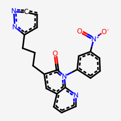 O=c1c(CCCc2cccnn2)cc2cccnc2n1-c1cccc([N+](=O)[O-])c1